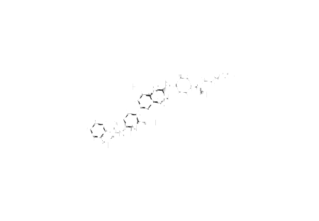 CCc1cc(-c2ccc(NS(=O)(=O)c3ccccc3Cl)nc2C)cc2cnc(N[C@H]3CC[C@H](N(C)CCOC)CC3)nc12